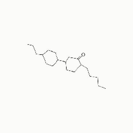 CCCCCC1CCC(C2CCC(CCC)CC2)CC1=O